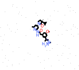 COC1=CC(/C(C)=C/N(C)N)=CC(CC(=O)Nc2cc(N3CC[C@@](C)(C4CC4)C3=O)cc(C)n2)C1